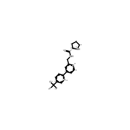 O=C(NCc1cc(-c2ccc(C(F)(F)F)cn2)ccn1)[C@@H]1CCCN1